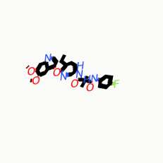 CCC1=C(Oc2ccnc3cc(OC)c(OC)cc23)N=CC(NC(=O)C(C)(C)C(=O)Nc2ccc(F)cc2)=CC1